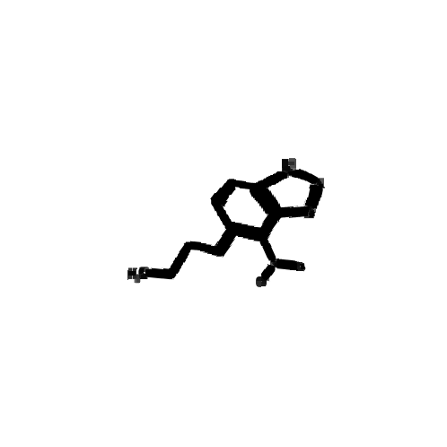 CCCCc1ccc2[nH]nnc2c1[N+](=O)[O-]